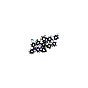 Fc1ccc(N(c2ccccc2)c2ccc3c(c2)-n2c4c(c5c(-c6ccccc6)c6c(c(-c7ccccc7)c52)c2cccc5c7ccc(N(c8ccccc8)c8ccc(F)cc8)cc7n6c52)C=CCC34)cc1